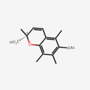 CC(=O)Oc1c(C)c(C)c2c(c1C)C=C[C@@](C)(C(=O)O)O2